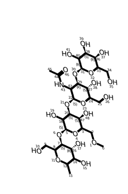 COCC1O[C@@H](O[C@@H]2C(CO)OC(C)C(O)[C@H]2O)C(O)[C@@H](O[C@@H]2OC(CO)[C@@H](O)[C@H](O[C@@H]3OC(CO)[C@H](O)[C@H](O)C3O)C2NC(C)=O)[C@H]1O